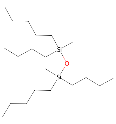 CCCCC[Si](C)(CCCC)O[Si](C)(CCCC)CCCCC